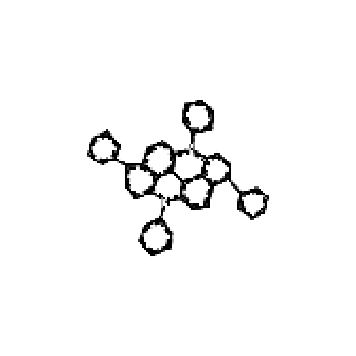 c1ccc(-c2ccc3c4c5c(ccc24)n(-c2ccccc2)c2ccc(-c4ccccc4)c4ccc(c-5c42)n3-c2ccccc2)cc1